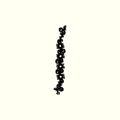 C=CC(=O)OCCCCOc1ccc(C(=O)OC2=CC=C(OC(=O)c3ccc(OC(=O)c4ccc(OCCOC(=O)C(=C)C)cc4)cc3)CC2)cc1